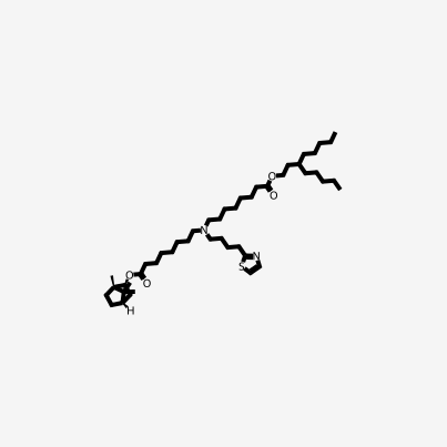 CCCCCC(CCCCC)CCOC(=O)CCCCCCCN(CCCCCCCC(=O)O[C@H]1C[C@@H]2CC[C@@]1(C)C2(C)C)CCCCc1nccs1